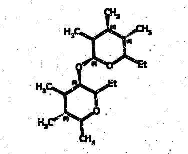 CCC1OC(C)[C@H](C)C(C)[C@H]1O[C@@H]1OC(CC)[C@@H](C)[C@H](C)C1C